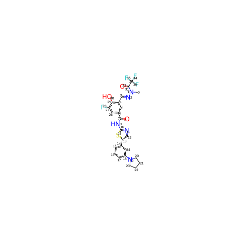 CN(N=Cc1cc(C(=O)Nc2ncc(-c3cccc(N4CCCC4)c3)s2)cc(F)c1O)C(=O)C(F)(F)F